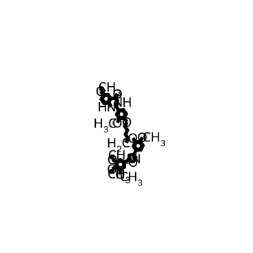 C=C(CCCOc1ccc(C2NC(=O)c3cc(OC)ccc3N2)cc1OC)Oc1cc(C2=NOC(c3cc(OC)c(OC)c(OC)c3)C2)ccc1OC